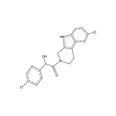 O=C(C(O)c1ccc(Cl)cc1)N1CCc2c([nH]c3ccc(Cl)cc23)C1